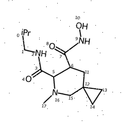 CC(C)CNC(=O)C1C(C(=O)NO)CC2(CC2)CN1C